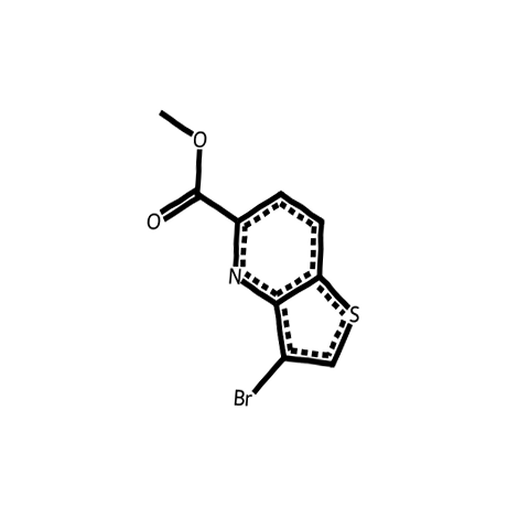 COC(=O)c1ccc2scc(Br)c2n1